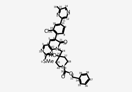 CSc1ncc2cc(-c3ccc(-c4cncc(C)n4)cc3Cl)c(=O)n(CC3(O)CCN(C(=O)OCc4ccccc4)CC3)c2n1